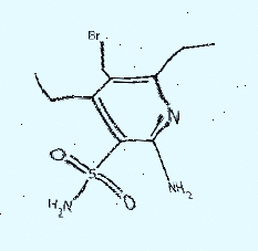 CCc1nc(N)c(S(N)(=O)=O)c(CC)c1Br